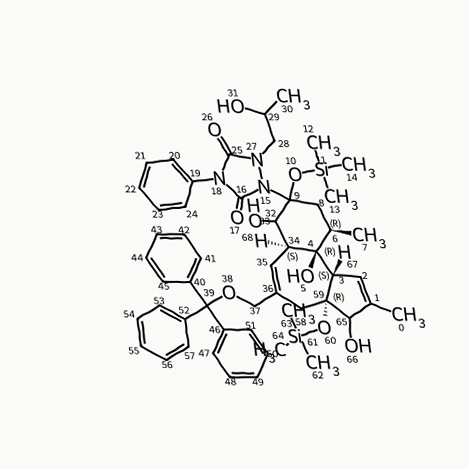 CC1=C[C@H]2[C@@]3(O)[C@H](C)CC(O[Si](C)(C)C)(n4c(=O)n(-c5ccccc5)c(=O)n4CC(C)O)C(O)[C@@H]3C=C(COC(c3ccccc3)(c3ccccc3)c3ccccc3)C[C@]2(O[Si](C)(C)C)C1O